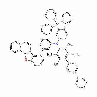 Bc1c(B)c(N(c2cccc(-c3cccc4oc5c6ccccc6ccc5c34)c2)c2ccc3c(c2)C(c2ccccc2)(c2ccccc2)c2ccccc2-3)c(B)c(B)c1-c1ccc(-c2ccccc2)cc1